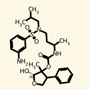 CC(C)CN(CCC(C)NC(=O)OC1(C)C(c2ccccc2)CO[C@@H]1O)S(=O)(=O)c1cccc(N)c1